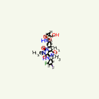 Cc1c(=O)n(C)c(Nc2ccc(I)cc2F)c2c(=O)n(C)c(=O)n(-c3cccc(NS(=O)(=O)C4(CO)CC4)c3)c12